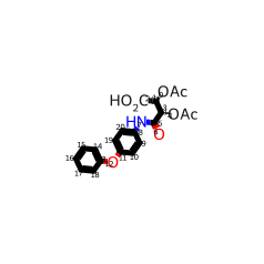 CC(=O)O[C@H](C(=O)O)[C@H](OC(C)=O)C(=O)Nc1ccc(Oc2ccccc2)cc1